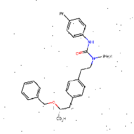 CCCCCCCN(CCc1ccc(C[C@@H](OCc2ccccc2)C(=O)O)cc1)C(=O)Nc1ccc(C(C)C)cc1